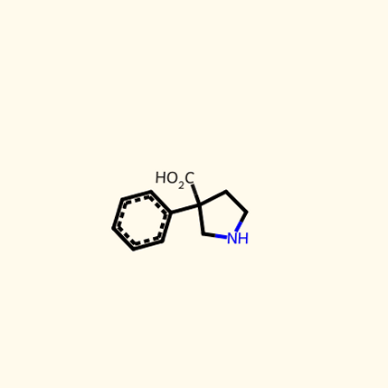 O=C(O)C1(c2ccccc2)CCNC1